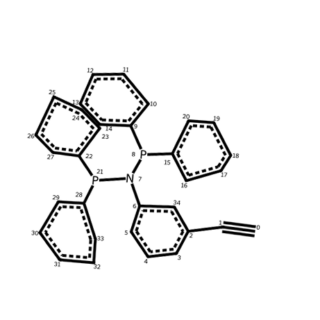 C#Cc1cccc(N(P(c2ccccc2)c2ccccc2)P(c2ccccc2)c2ccccc2)c1